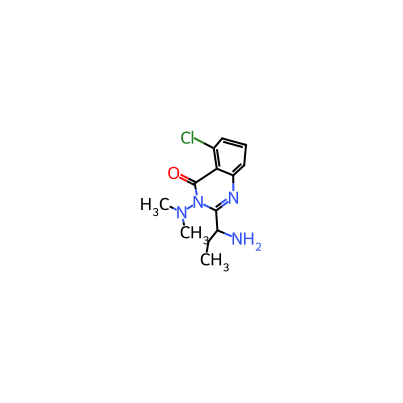 CCC(N)c1nc2cccc(Cl)c2c(=O)n1N(C)C